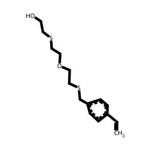 C=Cc1ccc(CSCCOCCSCCO)cc1